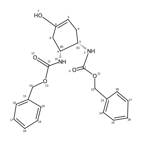 O=C(N[C@H]1CC=C(O)C[C@H]1NC(=O)OCc1ccccc1)OCc1ccccc1